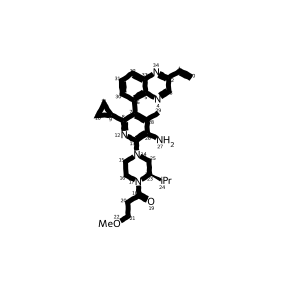 C=Cc1cnc2c(-c3c(C4CC4)nc(N4CCN(C(=O)CCOC)[C@H](C(C)C)C4)c(N)c3C)cccc2n1